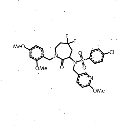 COc1ccc(CN2CCC(F)(F)CC(N(Cc3ccc(OC)nc3)S(=O)(=O)c3ccc(Cl)cc3)C2=O)c(OC)c1